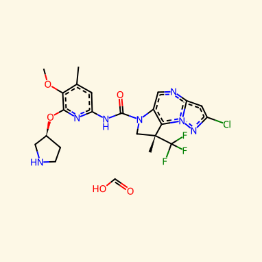 COc1c(C)cc(NC(=O)N2C[C@@](C)(C(F)(F)F)c3c2cnc2cc(Cl)nn32)nc1O[C@H]1CCNC1.O=CO